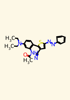 CCN(CC)c1ccc(-c2sc(N=Nc3ccccc3)cc2C#N)c(NC(C)=O)c1